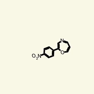 O=[N+]([O-])c1ccc(C2=CN=CC=CO2)cc1